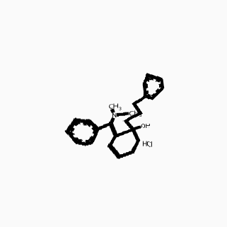 CN(C)C(c1ccccc1)C1CCCCC1(O)CCCc1ccccc1.Cl